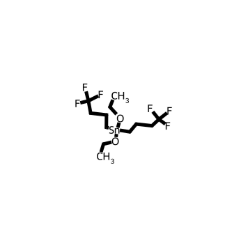 CC[O][Sn]([CH2]CCC(F)(F)F)([CH2]CCC(F)(F)F)[O]CC